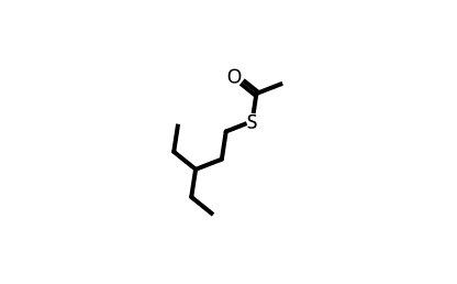 CCC(CC)CCSC(C)=O